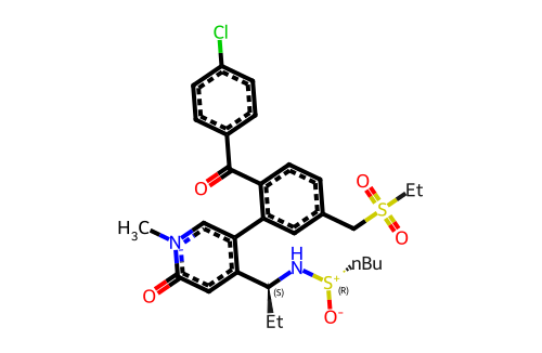 CCCC[S@+]([O-])N[C@@H](CC)c1cc(=O)n(C)cc1-c1cc(CS(=O)(=O)CC)ccc1C(=O)c1ccc(Cl)cc1